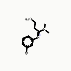 CCc1cccc(/N=C(\CCOC)N(C)C)c1